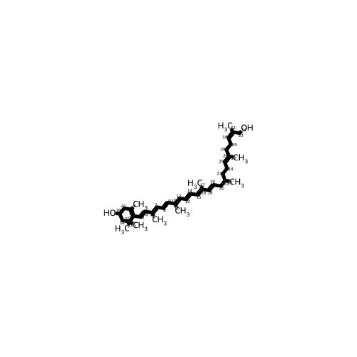 CC1=C(/C=C/C(C)=C/C=C/C(C)=C/C=C/C=C(C)/C=C/CC(C)CC/C=C(\C)CC/C=C(/C)CO)C(C)(C)CC(O)C1